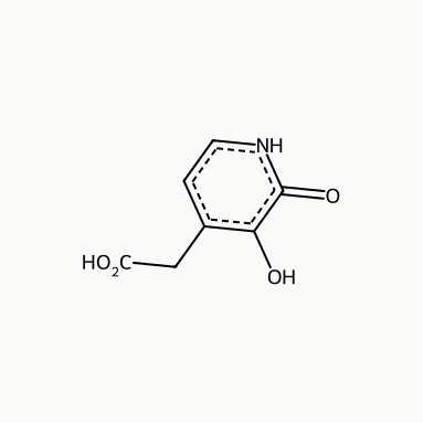 O=C(O)Cc1cc[nH]c(=O)c1O